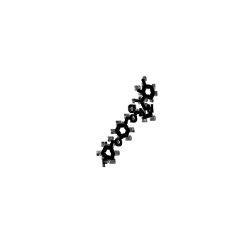 Cc1cccc([C@H](C)c2nccn2C(=O)OCc2ccc(OCc3ccc(F)cc3)cc2)c1C